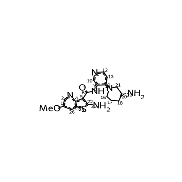 COc1cnc2c(C(=O)Nc3cnccc3N3CCC[C@@H](N)C3)c(N)sc2c1